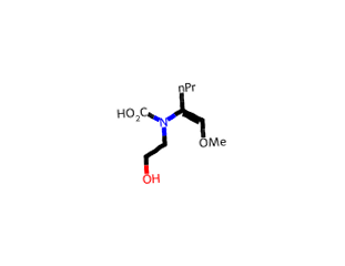 CCC/C(=C/OC)N(CCO)C(=O)O